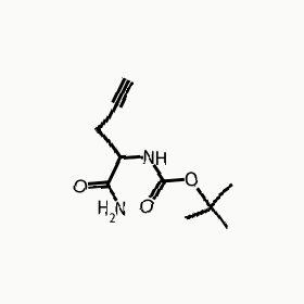 C#CCC(NC(=O)OC(C)(C)C)C(N)=O